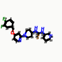 Fc1ccc(COc2ccnc(N3CCC(NC(=S)Nc4cccnc4)CC3)c2)cc1F